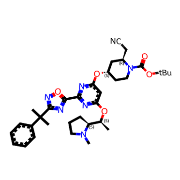 C[C@H](Oc1cc(O[C@H]2CCN(C(=O)OC(C)(C)C)[C@H](CC#N)C2)nc(-c2nc(C(C)(C)c3ccccc3)no2)n1)[C@@H]1CCCN1C